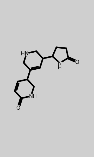 O=C1C=CC(C2=CC(C3CCC(=O)N3)CNC2)CN1